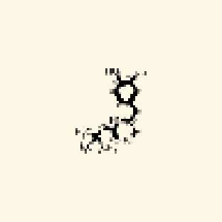 CC(C)(C)OC(=O)N[C@H](CO)Cc1ccc(O)c(F)c1